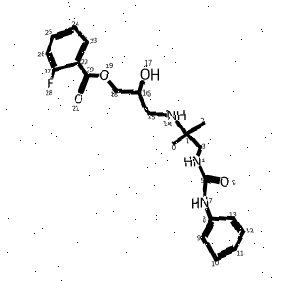 CC(C)(CNC(=O)Nc1ccccc1)NCC(O)COC(=O)c1ccccc1F